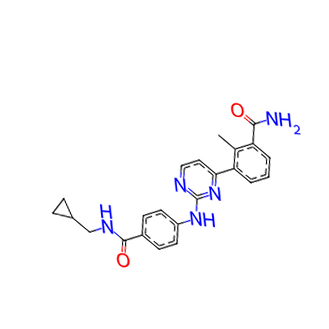 Cc1c(C(N)=O)cccc1-c1ccnc(Nc2ccc(C(=O)NCC3CC3)cc2)n1